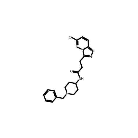 O=C(CCc1nnc2ccc(Cl)nn12)NC1CCN(Cc2ccccc2)CC1